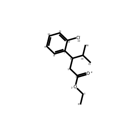 CCOC(=O)CC(c1ccccc1Cl)C(C)C